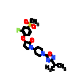 CC(C)c1noc(N2CCC(N3CCC(Oc4ccc(S(C)(=O)=O)cc4F)C3=O)CC2)n1